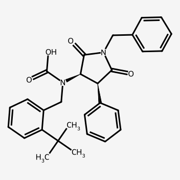 CC(C)(C)c1ccccc1CN(C(=O)O)[C@H]1C(=O)N(Cc2ccccc2)C(=O)[C@H]1c1ccccc1